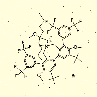 CCCCC(CCCC)(OC)[C@H](C)[N+]1(C)Cc2c(cc(C(C)(C)C)c(OC)c2-c2cc(C(F)(F)F)cc(C(F)(F)F)c2)-c2cc(C(C)(C)C)c(OC)c(-c3cc(C(F)(F)F)cc(C(F)(F)F)c3)c2C1.[Br-]